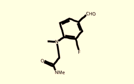 CNC(=O)CN(C)c1ccc(C=O)cc1F